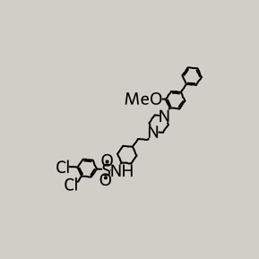 COc1cc(-c2ccccc2)ccc1N1CCN(CCC2CCC(NS(=O)(=O)c3ccc(Cl)c(Cl)c3)CC2)CC1